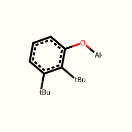 CC(C)(C)c1cccc([O][Al])c1C(C)(C)C